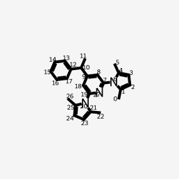 Cc1ccc(C)n1-c1cc(C(C)c2ccccc2)cc(-n2c(C)ccc2C)n1